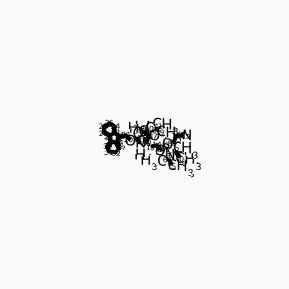 CC(C)N(C(C)C)P(OCCC#N)OCC[C@H](NC(=O)OCC1c2ccccc2-c2ccccc21)C(=O)OC(C)(C)C